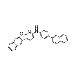 c1ccc2cc(-c3ccc(Nc4ccc5c(n4)oc4cc6ccccc6cc45)cc3)ccc2c1